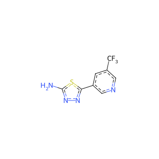 Nc1nnc(-c2cncc(C(F)(F)F)c2)s1